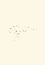 C[C@H]1COCCN1c1nc(C2=CCN(C(=O)CN)CC2)cc(-n2c(C(F)F)nc3ccccc32)n1